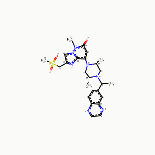 CC(c1ccc2nccnc2c1)N1C[C@H](C)N(c2cc(=O)n(C)n3cc(CS(C)(=O)=O)nc23)C[C@H]1C